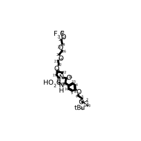 CC(C)(C)[Si](C)(C)OCCOc1ccc([C@H](NC(=O)O)C(=O)N2CC[C@H](OCCOCCOCCOC(F)(F)F)C2)cc1